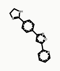 c1ccc(-c2cc(-c3ccc(C4=NCCN4)cc3)no2)nc1